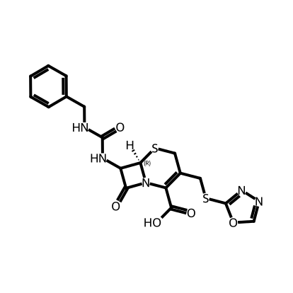 O=C(NCc1ccccc1)NC1C(=O)N2C(C(=O)O)=C(CSc3nnco3)CS[C@H]12